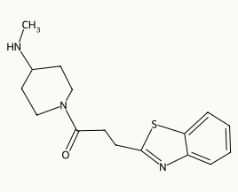 CNC1CCN(C(=O)CCc2nc3ccccc3s2)CC1